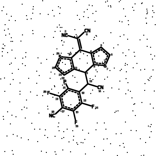 N#CC(C#N)=C1c2ccsc2C(C(C#N)c2c(F)c(F)c(C#N)c(F)c2F)c2ccsc21